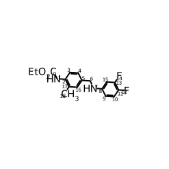 CCOC(=O)Nc1ccc(CNc2ccc(F)c(F)c2)cc1C